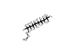 OOOSC(F)(F)C(F)(F)C(F)(F)C(F)(F)C(F)(F)C(F)(F)C(F)(F)C(F)(F)F